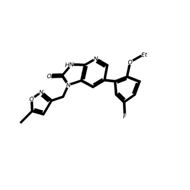 CCOc1ccc(F)cc1-c1cnc2[nH]c(=O)n(Cc3cc(C)on3)c2c1